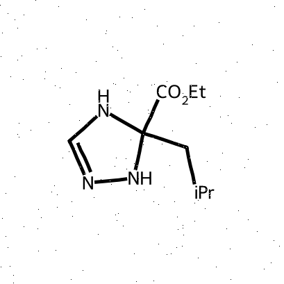 CCOC(=O)C1(CC(C)C)NC=NN1